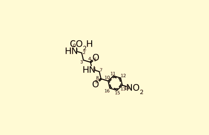 O=C(O)NCCC(=O)NCC(=O)c1ccc([N+](=O)[O-])cc1